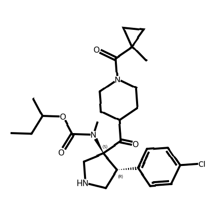 CCC(C)OC(=O)N(C)[C@]1(C(=O)C2CCN(C(=O)C3(C)CC3)CC2)CNC[C@H]1c1ccc(Cl)cc1